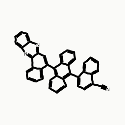 N#Cc1ccc(-c2c3ccccc3c(-c3cc4nc5ccccc5nc4c4ccccc34)c3ccccc23)c2ccccc12